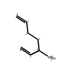 C=CCCC(C=C)CCCC